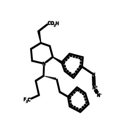 [N-]=[N+]=Nc1ccc([C@@H]2C[C@H](CC(=O)O)CCN2[C@H](CCc2ccccc2)CCC(F)(F)F)cc1